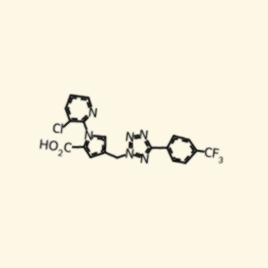 O=C(O)c1cc(Cn2nnc(-c3ccc(C(F)(F)F)cc3)n2)cn1-c1ncccc1Cl